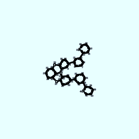 S=P12c3cc(-c4cccc(-c5ccccn5)c4)ccc3Oc3cccc(c31)Oc1ccc(-c3cccc(-c4ccccn4)c3)cc12